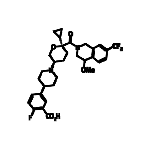 COC1CN(C(=O)[C@@]2(C3CC3)CC[C@@H](N3CCC(c4ccc(F)c(C(=O)O)c4)CC3)CO2)Cc2cc(C(F)(F)F)ccc21